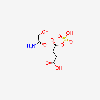 NC(=O)CO.O=C(O)CCC(=O)OS(=O)(=O)O